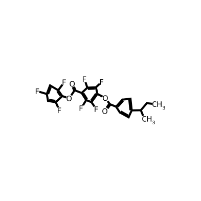 CCC(C)c1ccc(C(=O)Oc2c(F)c(F)c(C(=O)Oc3c(F)cc(F)cc3F)c(F)c2F)cc1